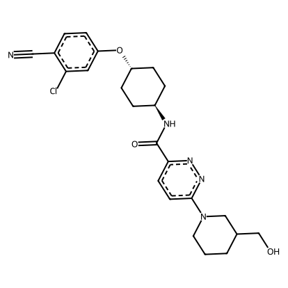 N#Cc1ccc(O[C@H]2CC[C@H](NC(=O)c3ccc(N4CCCC(CO)C4)nn3)CC2)cc1Cl